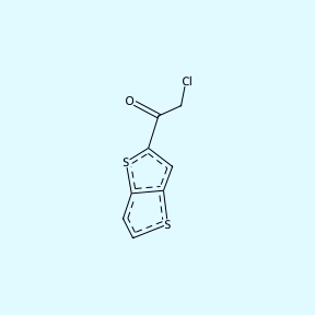 O=C(CCl)c1cc2sccc2s1